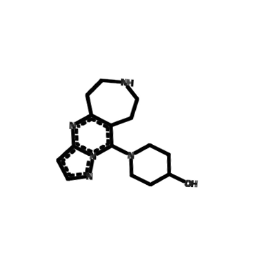 OC1CCN(c2c3c(nc4ccnn24)CCNCC3)CC1